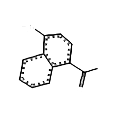 CC(=O)c1ccc(N)c2ccccc12